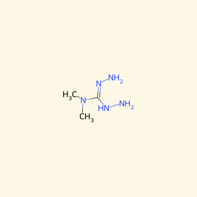 CN(C)C(=NN)NN